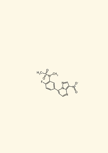 CN(c1cc(-c2ccnc3c([N+](=O)[O-])cnn23)ccc1F)S(C)(=O)=O